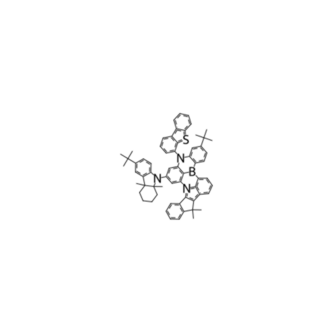 CC(C)(C)c1ccc2c(c1)N(c1cccc3c1sc1ccccc13)c1cc(N3c4ccc(C(C)(C)C)cc4C4(C)CCCCC34C)cc3c1B2c1cccc2c4c(n-3c12)-c1ccccc1C4(C)C